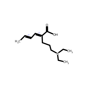 C/C=C/C=C(\CCCN(CC)CC)C(=O)O